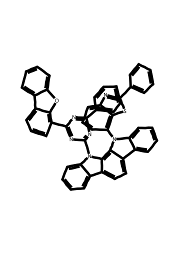 c1ccc(-c2nc(-c3cccc4c3oc3ccccc34)nc(-n3c4ccccc4c4ccc5c6ccccc6n(-c6cccc7nc(-c8ccccc8)sc67)c5c43)n2)cc1